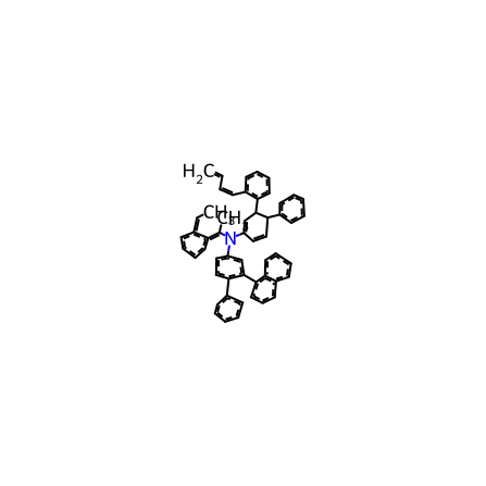 C=C/C=C\c1ccccc1C1C=C(N(/C(C)=c2\cccc\c2=C\C)c2ccc(-c3ccccc3)c(-c3cccc4ccccc34)c2)C=CC1c1ccccc1